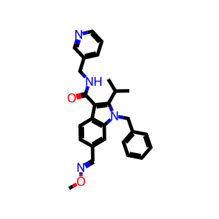 CO/N=C/c1ccc2c(C(=O)NCc3cccnc3)c(C(C)C)n(Cc3ccccc3)c2c1